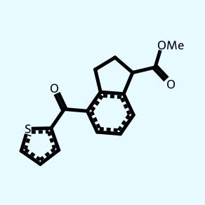 COC(=O)C1CCc2c(C(=O)c3cccs3)cccc21